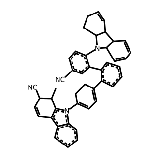 CC1c2c(c3ccccc3n2C2=CC=C(c3ccccc3-c3cc(C#N)ccc3N3C4C=CC=CC4C4C=CCCC43)CC2)C=CC1C#N